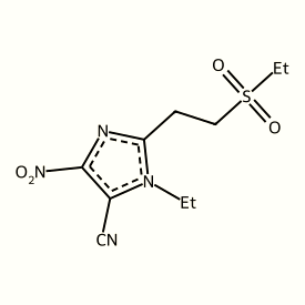 CCn1c(CCS(=O)(=O)CC)nc([N+](=O)[O-])c1C#N